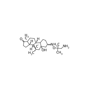 C[C@@H]1C[C@@]2(O)CC(=NOC(C)(C)CN)CC[C@]2(C)[C@H]2CC[C@]3(C)C(=O)CC[C@H]3[C@H]12